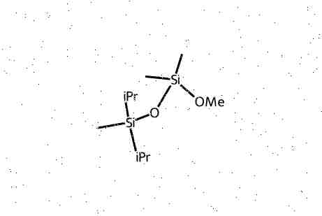 CO[Si](C)(C)O[Si](C)(C(C)C)C(C)C